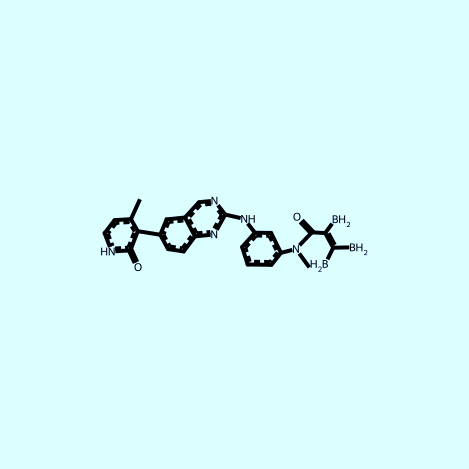 BC(B)=C(B)C(=O)N(C)c1cccc(Nc2ncc3cc(-c4c(C)cc[nH]c4=O)ccc3n2)c1